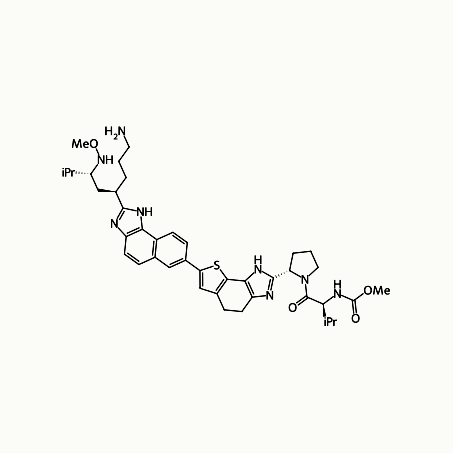 CON[C@H](C[C@@H](CCCN)c1nc2ccc3cc(-c4cc5c(s4)-c4[nH]c([C@@H]6CCCN6C(=O)[C@@H](NC(=O)OC)C(C)C)nc4CC5)ccc3c2[nH]1)C(C)C